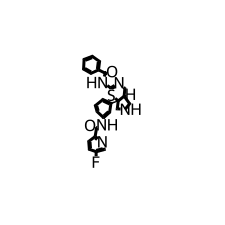 O=C(NC1=NC[C@H]2CNC[C@]2(c2cccc(NC(=O)c3ccc(F)cn3)c2)S1)c1ccccc1